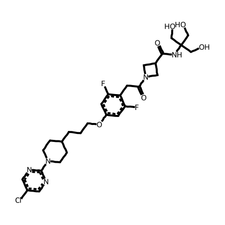 O=C(NC(CO)(CO)CO)C1CN(C(=O)Cc2c(F)cc(OCCCC3CCN(c4ncc(Cl)cn4)CC3)cc2F)C1